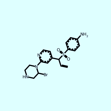 C=CC(c1ccnc(N2CCNCC2Br)c1)S(=O)(=O)c1ccc(N)cc1